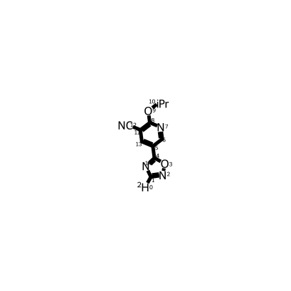 [2H]c1noc(-c2cnc(OC(C)C)c(C#N)c2)n1